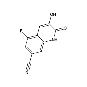 N#Cc1cc(F)c2cc(O)c(=O)[nH]c2c1